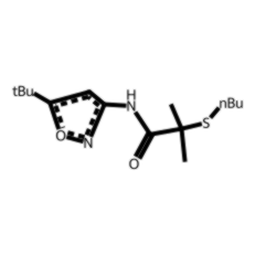 CCCCSC(C)(C)C(=O)Nc1cc(C(C)(C)C)on1